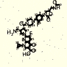 CC(=O)NCC1CN(c2ccc(N3CCN(C(=O)[C@@H]4CN(c5nc6c(cc5F)c(=O)c(C(=O)O)cn6C5CC5)C[C@H]4CN)CC3)c(F)c2)C(=O)O1